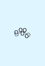 O=C(OC(=O)C1CCCO1)C1CCCO1